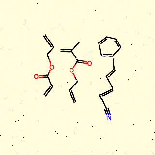 C=CCOC(=O)C(=C)C.C=CCOC(=O)C=C.N#CC=CC=Cc1ccccc1